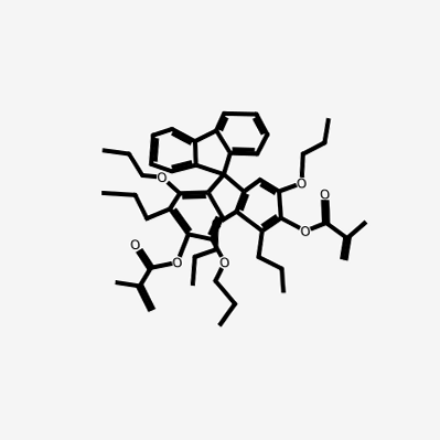 C=C(C)C(=O)Oc1c(OCCC)cc(C2(c3cc(OCCC)c(OC(=O)C(=C)C)c(CCC)c3OCCC)c3ccccc3-c3ccccc32)c(OCCC)c1CCC